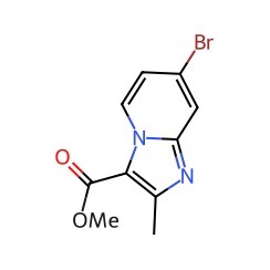 COC(=O)c1c(C)nc2cc(Br)ccn12